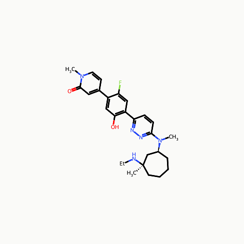 CCN[C@]1(C)CCCC[C@H](N(C)c2ccc(-c3cc(F)c(-c4ccn(C)c(=O)c4)cc3O)nn2)C1